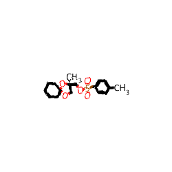 Cc1ccc(S(=O)(=O)OC[C@@]2(C)COC3(CCCCC3)O2)cc1